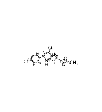 CC1OC(c2cc3[nH]c(-c4ccc(Cl)cc4)cc(=O)n3n2)O1